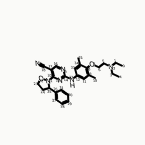 CCN(CC)CCOc1c(C)cc(Nc2ncc(C#N)c(N3OCCC3c3ccccc3)n2)cc1C